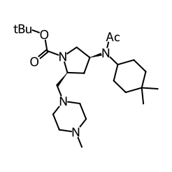 CC(=O)N(C1CCC(C)(C)CC1)[C@H]1C[C@@H](CN2CCN(C)CC2)N(C(=O)OC(C)(C)C)C1